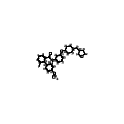 Cc1cccc(C(=O)Nc2cccc(OC3CCN(CC4CCOC4)CC3)c2)c1-c1ccc(OC(F)(F)F)cc1